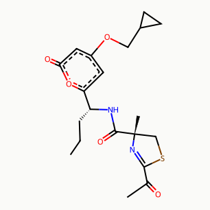 CCC[C@@H](NC(=O)[C@]1(C)CSC(C(C)=O)=N1)c1cc(OCC2CC2)cc(=O)o1